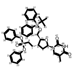 Cc1cn([C@H]2C[C@H](CCP(=O)(Oc3ccccc3)Oc3ccccc3)[C@@H](CO[Si](c3ccccc3)(c3ccccc3)C(C)(C)C)O2)c(=O)[nH]c1=O